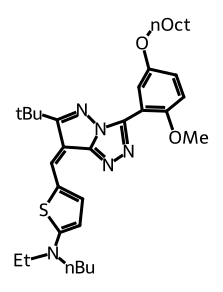 CCCCCCCCOc1ccc(OC)c(-c2nnc3/c(=C\c4ccc(N(CC)CCCC)s4)c(C(C)(C)C)nn23)c1